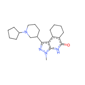 Cn1nc(C2CCCN(C3CCCC3)C2)c2c3c(c(=O)[nH]c21)CCCC3